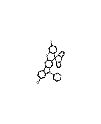 Clc1ccc2c3cc4c(cc3n(-c3ccccc3)c2c1)C1(c2ccc(Br)cc2O4)c2ccccc2-c2ccccc21